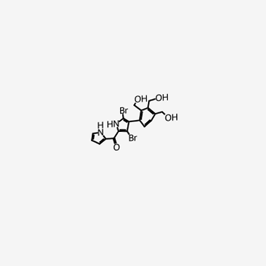 O=C(c1ccc[nH]1)c1[nH]c(Br)c(-c2ccc(CO)c(CO)c2CO)c1Br